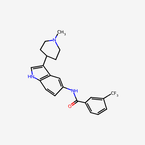 CN1CCC(c2c[nH]c3ccc(NC(=O)c4cccc(C(F)(F)F)c4)cc23)CC1